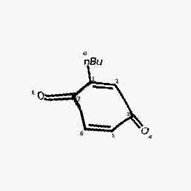 CCCCC1=CC(=O)C=CC1=O